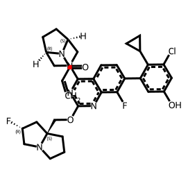 C=CC(=O)N1[C@@H]2CC[C@H]1CN(c1nc(OC[C@@]34CCCN3C[C@H](F)C4)nc3c(F)c(-c4cc(O)cc(Cl)c4C4CC4)ccc13)C2